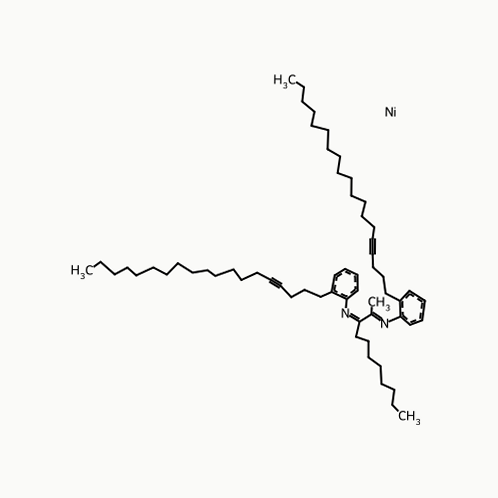 CCCCCCCCCCCCCCC#CCCCc1ccccc1/N=C(CCCCCCCC)\C(C)=N\c1ccccc1CCCC#CCCCCCCCCCCCCCC.[Ni]